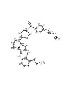 CCNCc1ccc(C(=O)N2CCN(c3ncnc4c3cnn4Cc3cccc(OCC)c3F)CC2)cc1